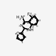 NC1=NC(c2ccco2)Nc2cccc(F)c21